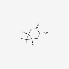 C=C1C[C@@H]2[C@H](CC1O)C2(C)C